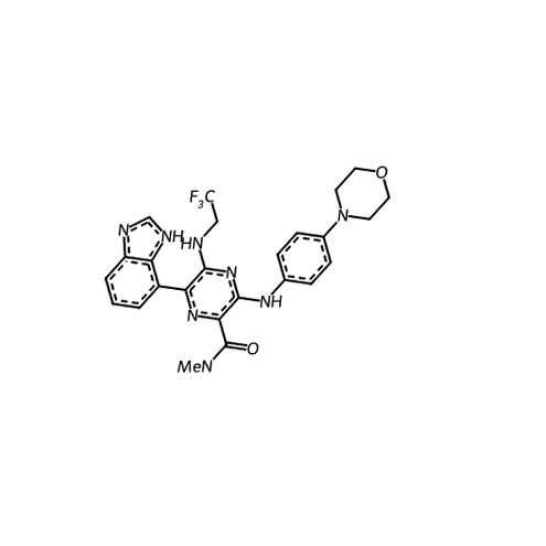 CNC(=O)c1nc(-c2cccc3nc[nH]c23)c(NCC(F)(F)F)nc1Nc1ccc(N2CCOCC2)cc1